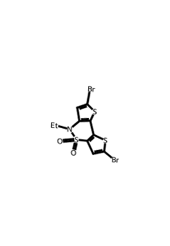 CCN1c2cc(Br)sc2-c2sc(Br)cc2S1(=O)=O